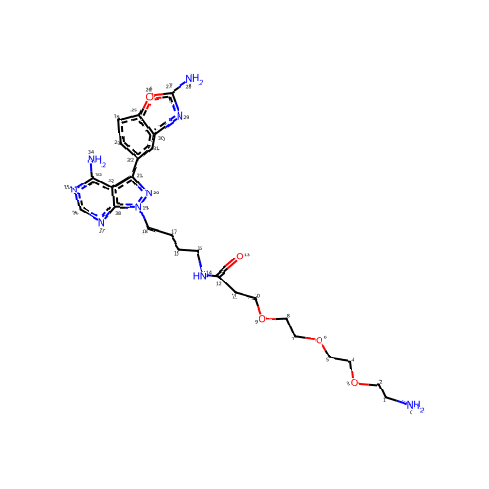 NCCOCCOCCOCCC(=O)NCCCCn1nc(-c2ccc3oc(N)nc3c2)c2c(N)ncnc21